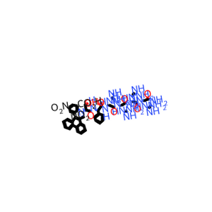 N=C(N)NC(NC(=O)C(NC(=N)N)NC(=O)C(NC(=N)N)NC(=O)C(NC(=N)N)NC(=O)C(NC(=O)C(CO)N(Cc1cc2ccccc2c2ccccc12)c1c(C(=O)O)cc([N+](=O)[O-])cc1[N+](=O)[O-])c1ccccc1)C(N)=O